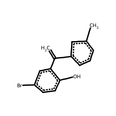 C=C(c1cccc(C)c1)c1cc(Br)ccc1O